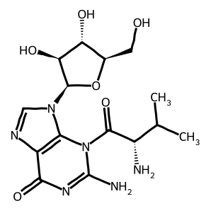 CC(C)[C@H](N)C(=O)n1c(N)nc(=O)c2ncn([C@@H]3O[C@H](CO)[C@@H](O)[C@@H]3O)c21